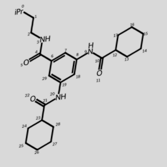 CC(C)CCNC(=O)c1cc(NC(=O)C2CCCCC2)cc(NC(=O)C2CCCCC2)c1